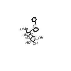 COCc1[nH]nc(O[C@@H]2O[C@H](CO)[C@@H](O)[C@H](O)[C@H]2O)c1Cc1ccccc1OCc1ccccc1